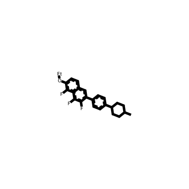 CCOc1ccc2cc(-c3ccc(C4CCC(C)CC4)cc3)c(F)c(F)c2c1F